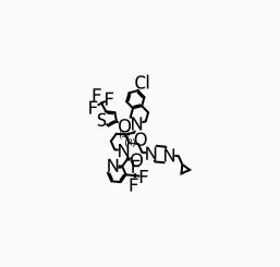 O=C(c1ncccc1C(F)(F)F)N1CCC[C@@](Oc2csc(C(F)(F)F)c2)(C(=O)N2CCc3cc(Cl)ccc3C2)[C@H]1CCN1CCN(CC2CC2)CC1